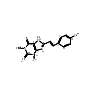 CCn1c(=O)c2[nH]c(/C=C/c3ccc(Br)cc3)nc2n(CC)c1=O